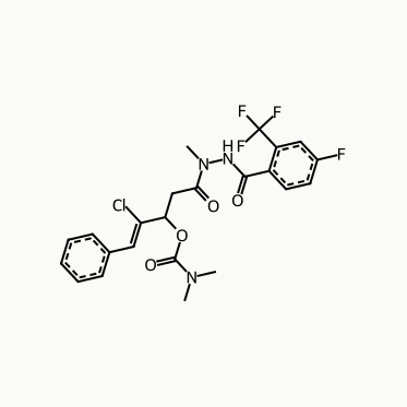 CN(C)C(=O)OC(CC(=O)N(C)NC(=O)c1ccc(F)cc1C(F)(F)F)C(Cl)=Cc1ccccc1